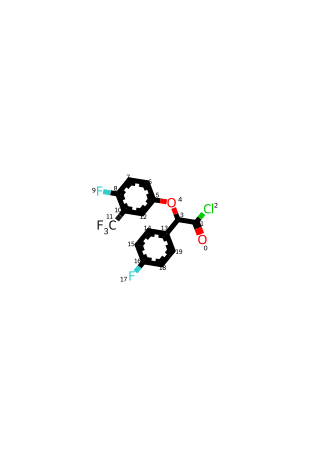 O=C(Cl)C(Oc1ccc(F)c(C(F)(F)F)c1)c1ccc(F)cc1